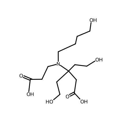 O=C(O)CCN(CCCCO)C(CCO)(CCO)CC(=O)O